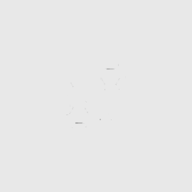 O=C(Cc1cccc(C(=O)O)c1)OCc1ccccc1